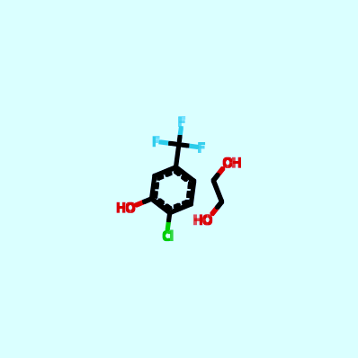 OCCO.Oc1cc(C(F)(F)F)ccc1Cl